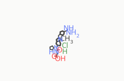 Cl.Cn1c(Cc2ccc(C(=N)N)cc2)cc2cc(N(C(=O)NCC(=O)O)C3CCCC3)ccc21